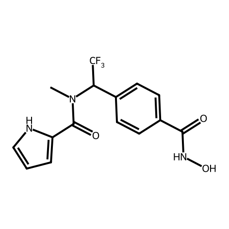 CN(C(=O)c1ccc[nH]1)C(c1ccc(C(=O)NO)cc1)C(F)(F)F